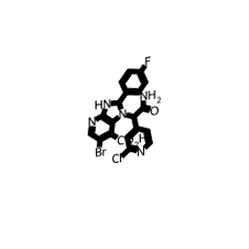 NC(=O)C(c1ccnc(Cl)c1)N1c2c(ncc(Br)c2C(=O)O)NC1c1ccc(F)cc1